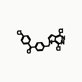 O=C(c1ccc(Cl)cc1)c1ccc(Cn2ccc3c(Cl)nnc(Cl)c32)cc1